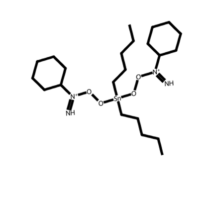 CCCC[CH2][Sn]([CH2]CCCC)([O]O[N+](=N)C1CCCCC1)[O]O[N+](=N)C1CCCCC1